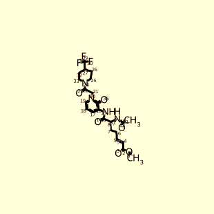 COC(=O)/C=C/CC[C@H](NC(C)=O)C(=O)Nc1cccn(CC(=O)N2CCC(C(F)(F)F)CC2)c1=O